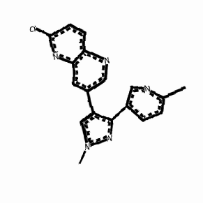 Cc1ccc(-c2nn(C)cc2-c2cnc3ccc(Cl)nc3c2)cn1